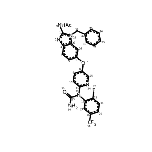 CC(=O)Nc1nc2ccc(Oc3ccc(N(C(N)=O)c4cc(C(F)(F)F)ccc4F)nc3)cc2n1Cc1ccccc1